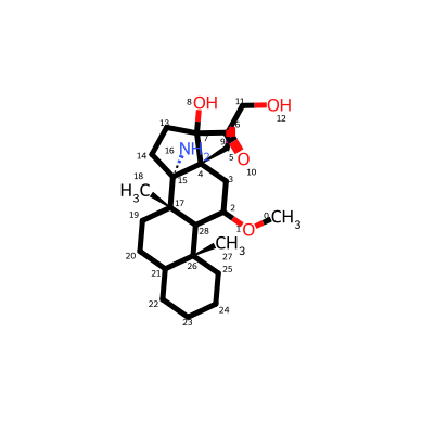 COC1C[C@@]2(CI)C(O)(C(=O)CO)CC[C@]2(N)[C@@]2(C)CCC3CCCC[C@@]3(C)C12